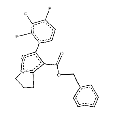 O=C(OCc1ccccc1)c1c(-c2ccc(F)c(F)c2F)nn2c1CCC2